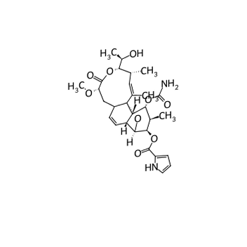 CO[C@H]1CC2C=C[C@H]3[C@H]4O[C@]2(/C(C)=C/[C@@H](C)[C@@H]([C@@H](C)O)OC1=O)[C@@H]3[C@H](OC(N)=O)[C@@H](C)[C@H]4OC(=O)c1ccc[nH]1